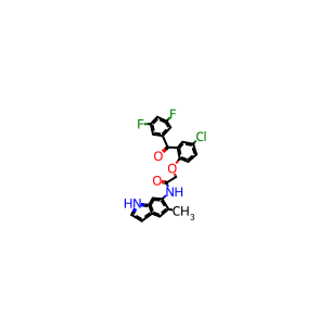 Cc1cc2cc[nH]c2cc1NC(=O)COc1ccc(Cl)cc1C(=O)c1cc(F)cc(F)c1